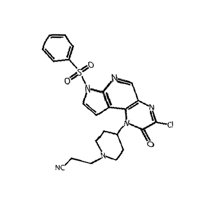 N#CCCN1CCC(n2c(=O)c(Cl)nc3cnc4c(ccn4S(=O)(=O)c4ccccc4)c32)CC1